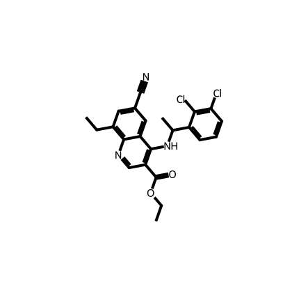 CCOC(=O)c1cnc2c(CC)cc(C#N)cc2c1NC(C)c1cccc(Cl)c1Cl